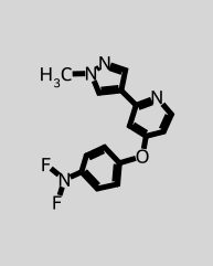 Cn1cc(-c2cc(Oc3ccc(N(F)F)cc3)ccn2)cn1